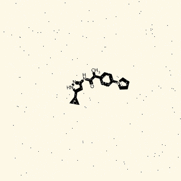 CC(C(=O)Nc1cc(C2CC2)[nH]n1)c1ccc(-n2cccc2)cc1